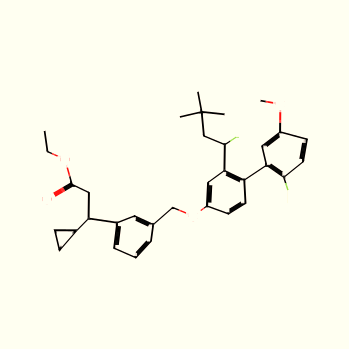 CCOC(=O)CC(c1cccc(COc2ccc(-c3cc(OC)ccc3F)c(C(F)CC(C)(C)C)c2)c1)C1CC1